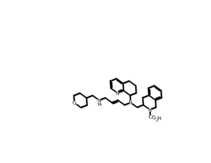 O=C(O)N1Cc2ccccc2CC1CN(C/C=C/CNCC1CCOCC1)C1CCCc2cccnc21